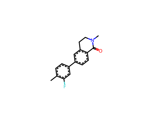 Cc1ccc(-c2ccc3c(c2)CCN(C)C3=O)cc1F